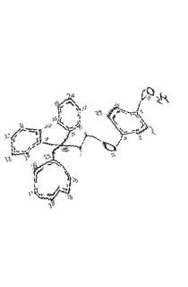 O=C(O)c1ccc(OCCC(c2ccccc2)(c2ccccc2)c2ccccc2)cc1